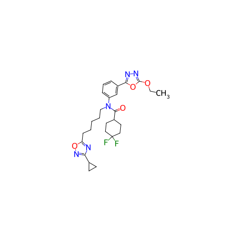 CCOc1nnc(-c2cccc(N(CCCCCc3nc(C4CC4)no3)C(=O)C3CCC(F)(F)CC3)c2)o1